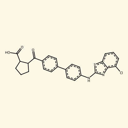 O=C(O)C1CCCC1C(=O)c1ccc(-c2ccc(Nc3nc4c(Cl)cccc4s3)cc2)cc1